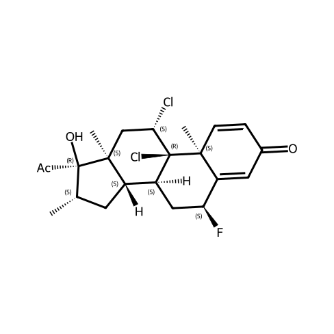 CC(=O)[C@@]1(O)[C@@H](C)C[C@H]2[C@@H]3C[C@H](F)C4=CC(=O)C=C[C@]4(C)[C@@]3(Cl)[C@@H](Cl)C[C@@]21C